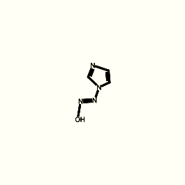 ON=Nn1ccnc1